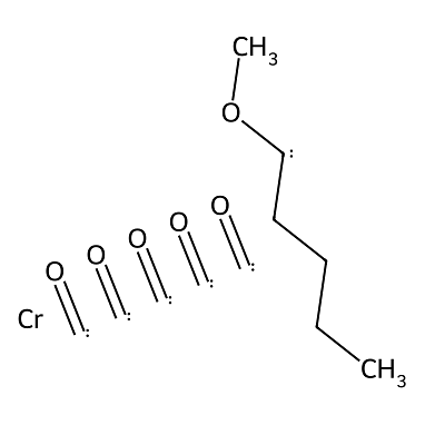 CCCC[C]OC.[C]=O.[C]=O.[C]=O.[C]=O.[C]=O.[Cr]